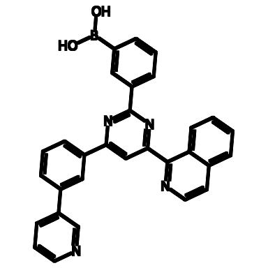 OB(O)c1cccc(-c2nc(-c3cccc(-c4cccnc4)c3)cc(-c3nccc4ccccc34)n2)c1